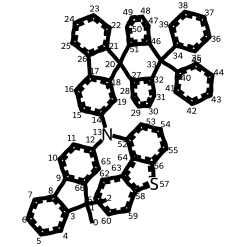 CC1(C)c2ccccc2-c2ccc(N(c3ccc4c(c3)C3(c5ccccc5-4)c4ccccc4C(c4ccccc4)(c4ccccc4)c4ccccc43)c3cccc4sc5ccccc5c34)cc21